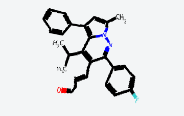 Cc1cc(-c2ccccc2)c2c(C(C)C)c(C=CC=O)c(-c3ccc(F)cc3)nn12